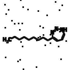 CCCCCCCCCC1=CC=CNN=N1